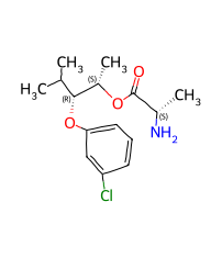 CC(C)[C@@H](Oc1cccc(Cl)c1)[C@H](C)OC(=O)[C@H](C)N